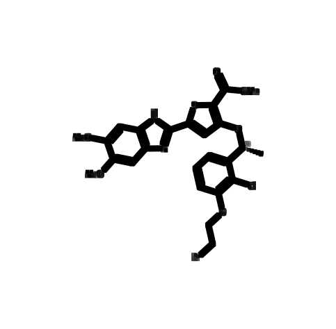 COC(=O)c1sc(-c2nc3cc(OC)c(OC)cc3[nH]2)cc1O[C@H](C)c1cccc(OCCBr)c1Cl